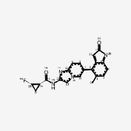 Cc1ccc2c(c1-c1ccc3nc(NC(=O)[C@@H]4C[C@@H]4F)cn3c1)=CC(=O)N=2